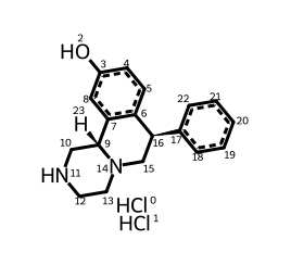 Cl.Cl.Oc1ccc2c(c1)[C@H]1CNCCN1C[C@@H]2c1ccccc1